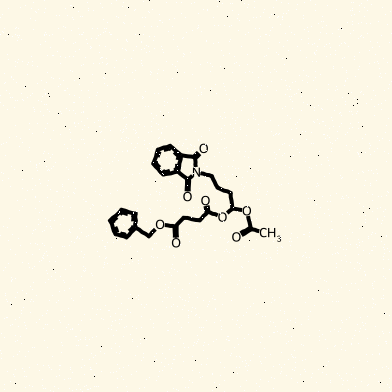 CC(=O)OC(CCCN1C(=O)c2ccccc2C1=O)OC(=O)CCC(=O)OCc1ccccc1